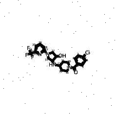 O=C(c1ccc(Cl)cc1)N1CCC(NC2CN(c3cccc(C(F)(F)F)n3)CC2O)CC1